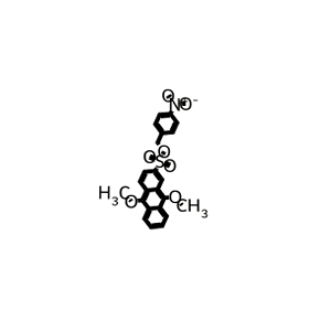 COc1c2ccccc2c(OC)c2cc(S(=O)(=O)OCc3ccc([N+](=O)[O-])cc3)ccc12